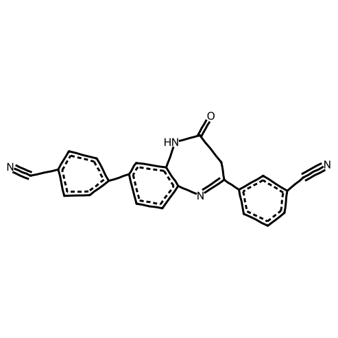 N#Cc1ccc(-c2ccc3c(c2)NC(=O)CC(c2cccc(C#N)c2)=N3)cc1